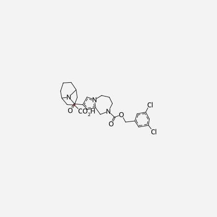 O=C(O)C1CC2CCCC(C1)N2C(=O)c1cc2n(c1)CCCN(C(=O)OCc1cc(Cl)cc(Cl)c1)C2